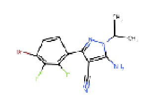 CC(C)n1nc(-c2ccc(Br)c(F)c2F)c(C#N)c1N